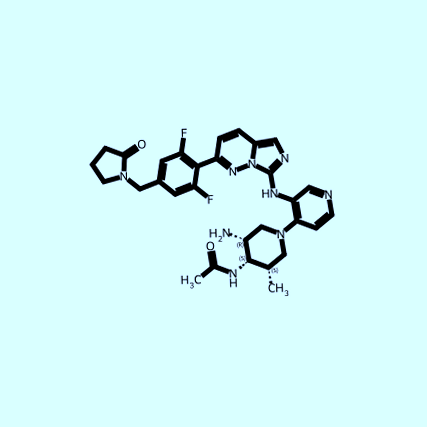 CC(=O)N[C@@H]1[C@H](N)CN(c2ccncc2Nc2ncc3ccc(-c4c(F)cc(CN5CCCC5=O)cc4F)nn23)C[C@@H]1C